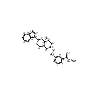 COC(=O)c1cccc(OC[C@H]2CC[C@H]3CN(c4noc5ccccc45)CCN3C2)c1